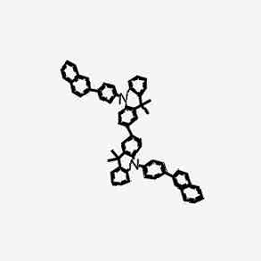 CC1(C)c2ccccc2N(c2ccc(-c3ccc4ccccc4c3)cc2)c2ccc(-c3ccc4c(c3)C(C)(C)c3ccccc3N4c3ccc(-c4ccc5ccccc5c4)cc3)cc21